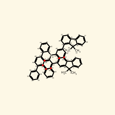 CC1(C)c2ccccc2-c2ccc(-c3ccccc3N(c3cccc(-c4cccc5c4C(C)(C)c4ccccc4-5)c3)c3ccccc3-c3ccc(-c4ccccc4)c(-c4ccccc4)c3)cc21